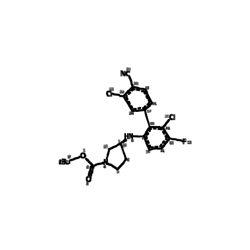 CC(C)(C)OC(=O)N1CC[C@H](Nc2ccc(F)c(Cl)c2-c2ccc(C#N)c(Cl)c2)C1